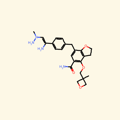 CN(N)/C=C(\N)c1ccc(Cc2cc(C(N)=O)c(OCC3(C)COC3)c3c2OCC3)cc1